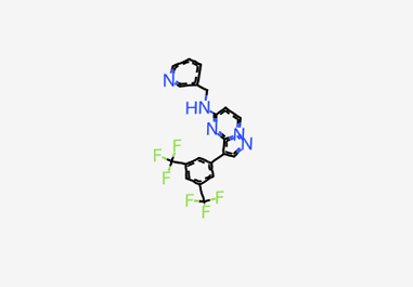 FC(F)(F)c1cc(-c2cnn3ccc(NCc4cccnc4)nc23)cc(C(F)(F)F)c1